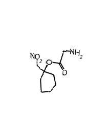 NCC(=O)OC1(C[N+](=O)[O-])CCCCC1